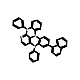 c1ccc(N2c3cc(-c4cccc5ccccc45)ccc3B3c4ccccc4N(c4ccccc4)c4nccc2c43)cc1